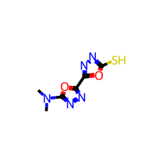 CN(C)c1nnc(-c2nnc(S)o2)o1